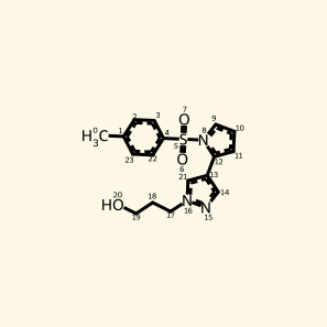 Cc1ccc(S(=O)(=O)n2cccc2-c2cnn(CCCO)c2)cc1